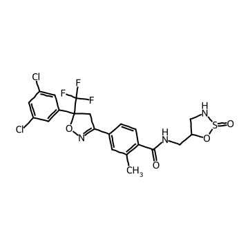 Cc1cc(C2=NOC(c3cc(Cl)cc(Cl)c3)(C(F)(F)F)C2)ccc1C(=O)NCC1CNS(=O)O1